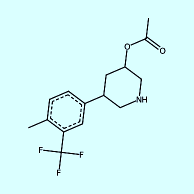 CC(=O)OC1CNCC(c2ccc(C)c(C(F)(F)F)c2)C1